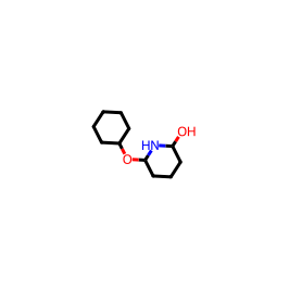 OC1CCCC(OC2CCCCC2)N1